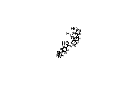 CC1=C(N2CCC3(CCN(C[C@H](O)c4ccc(-n5cnnn5)cc4)CC3)C2=O)COC1O